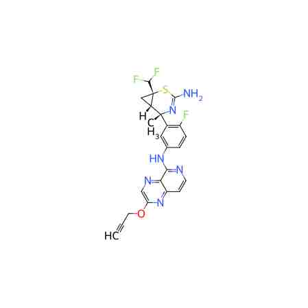 C#CCOc1cnc2c(Nc3ccc(F)c([C@@]4(C)N=C(N)S[C@@]5(C(F)F)C[C@@H]45)c3)nccc2n1